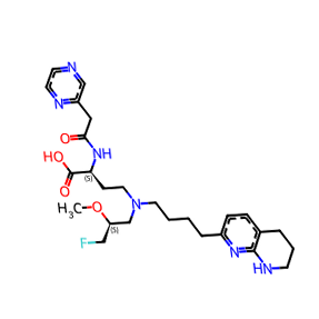 CO[C@H](CF)CN(CCCCc1ccc2c(n1)NCCC2)CC[C@H](NC(=O)Cc1cnccn1)C(=O)O